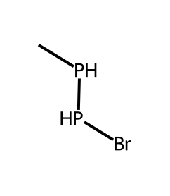 CPPBr